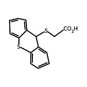 O=C(O)CSC1c2ccccc2Sc2ccccc21